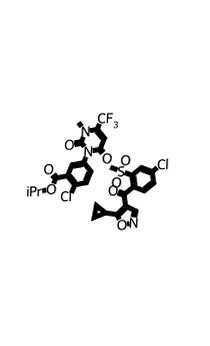 CC(C)OC(=O)c1cc(-n2c(=O)cc(C(F)(F)F)n(C)c2=O)ccc1Cl.CS(=O)(=O)c1cc(Cl)ccc1C(=O)c1cnoc1C1CC1